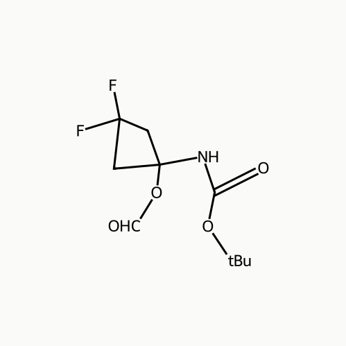 CC(C)(C)OC(=O)NC1(OC=O)CC(F)(F)C1